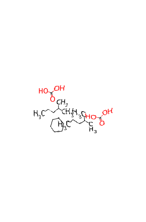 C1CCCCC1.CCCC(C)C.CCCC(C)C.O=C(O)O.O=C(O)O